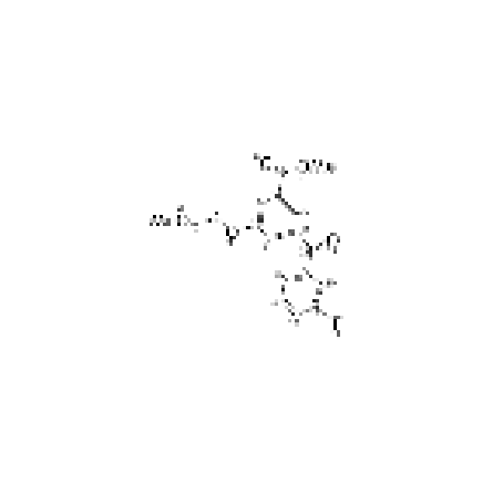 COCCOc1cc(C(=O)OC)cc(C(=O)c2cccc(F)c2)c1